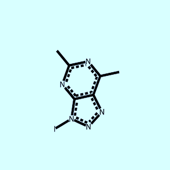 Cc1nc(C)c2nnn(I)c2n1